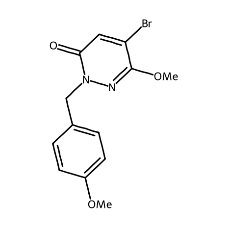 COc1ccc(Cn2nc(OC)c(Br)cc2=O)cc1